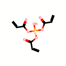 C=CC(=O)O[PH](O)(OC(=O)C=C)OC(=O)C=C